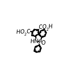 O=C(O)c1cc(NP(=O)(c2ccccc2)c2ccccc2)cc(C(=O)O)c1